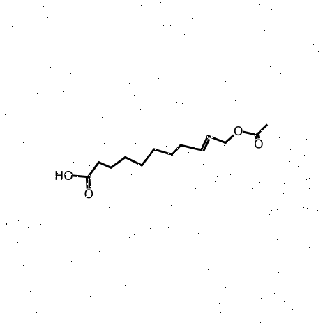 CC(=O)OCC=CCCCCCCCC(=O)O